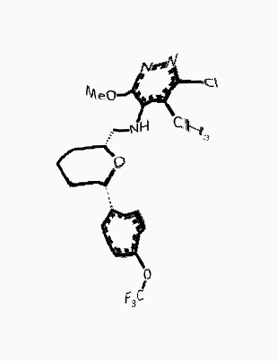 COc1nnc(Cl)c(C)c1NC[C@H]1CCC[C@@H](c2ccc(OC(F)(F)F)cc2)O1